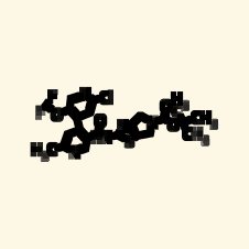 Cc1cc(-c2cc(Cl)ncc2OC(F)F)c(C(=O)Nc2nc3c(s2)CN(C(=O)OC(C)(C)C)C3)cn1